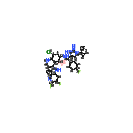 BC(Nc1cc(Cl)c2ncc(C#N)c(Nc3cnc(F)c(F)c3)c2c1)(C1=CN(C2(C(F)(F)F)CC2)NN1)c1ccc(F)cc1